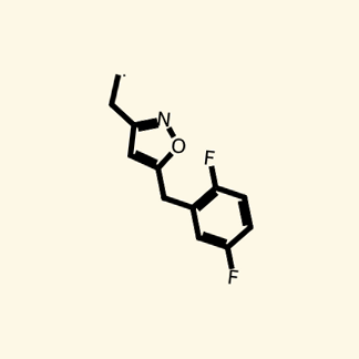 [CH2]Cc1cc(Cc2cc(F)ccc2F)on1